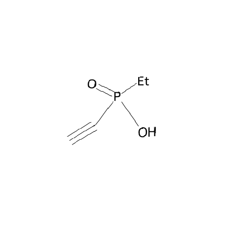 C#CP(=O)(O)CC